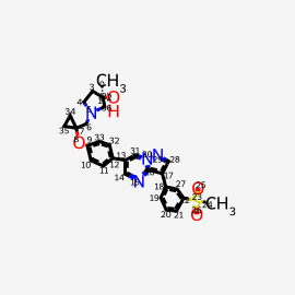 C[C@@]1(O)CCN(CC2(Oc3ccc(-c4cnc5c(-c6cccc(S(C)(=O)=O)c6)cnn5c4)cc3)CC2)C1